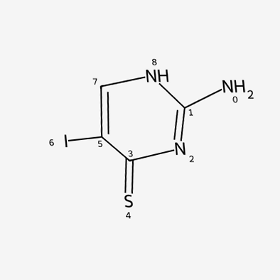 Nc1nc(=S)c(I)c[nH]1